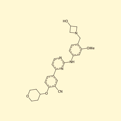 COc1cc(Nc2nccc(-c3ccc(OC4CCOCC4)c(C#N)c3)n2)ccc1CN1CC(O)C1